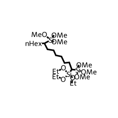 CCCCCCC(CCCCCCC([Si](OC)(OC)OC)[Si](OCC)(OCC)OCC)[Si](OC)(OC)OC